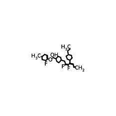 C=C/C=C(\C(F)=C(\F)CC1CCC([C@@H](O)OC2=CC[C@H](C)C[C@@H]2F)CC1)C1CCC(CCC)CC1